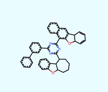 C1=CC2Oc3c(cc4ccccc4c3-c3nc(-c4cccc(-c5ccccc5)c4)nc(C4CCCCC5Oc6ccccc6C54)n3)C2C=C1